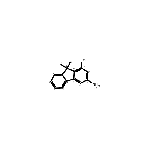 CC1(C)c2ccccc2-c2cc(N)cc(F)c21